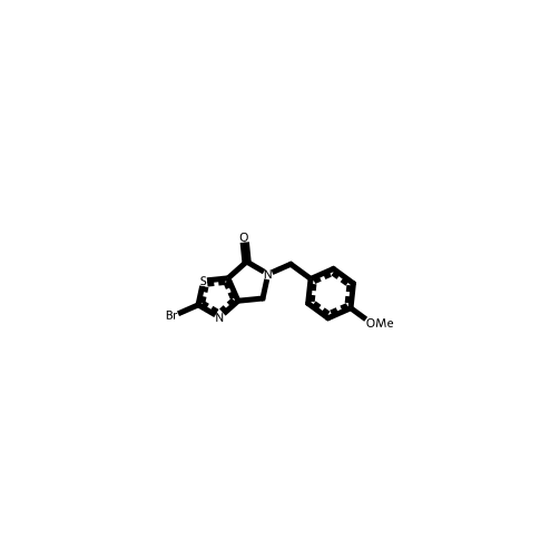 COc1ccc(CN2Cc3nc(Br)sc3C2=O)cc1